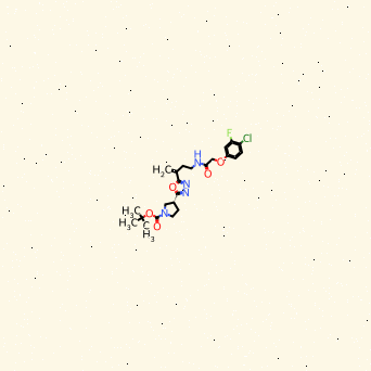 C=C(CCNC(=O)COc1ccc(Cl)c(F)c1)c1nnc([C@@H]2CCN(C(=O)OC(C)(C)C)C2)o1